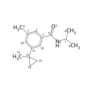 Cc1cc(C(=O)NC(C)C)cc(C2(C)CC2)c1